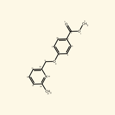 COC(=O)c1ccc(OCc2cccc(C)n2)cc1